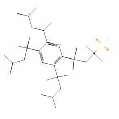 CC(C)CC(C)c1cc(C(C)(C)CC(C)(C)S(=O)(=O)O)c(C(C)(C)CC(C)C)cc1C(C)(O)CC(C)C